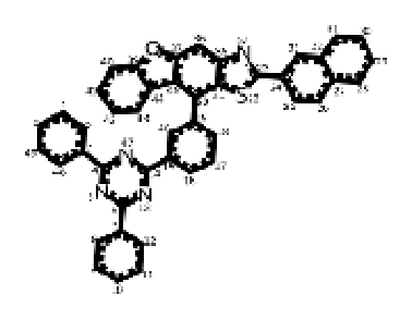 c1ccc(-c2nc(-c3ccccc3)nc(-c3cccc(-c4c5sc(-c6ccc7ccccc7c6)nc5cc5oc6ccccc6c45)c3)n2)cc1